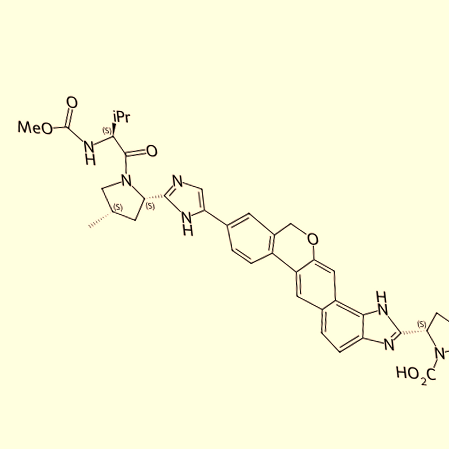 COC(=O)N[C@H](C(=O)N1C[C@@H](C)C[C@H]1c1ncc(-c2ccc3c(c2)COc2cc4c(ccc5nc([C@@H]6C[C@H](C)CN6C(=O)O)[nH]c54)cc2-3)[nH]1)C(C)C